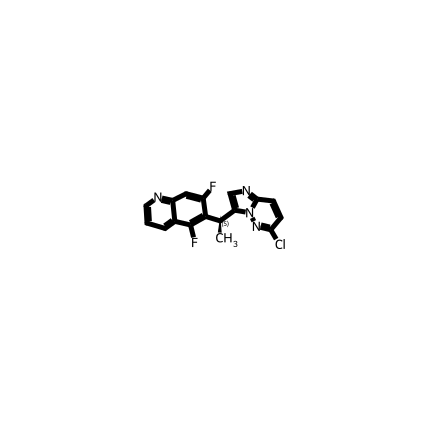 C[C@@H](c1c(F)cc2ncccc2c1F)c1cnc2ccc(Cl)nn12